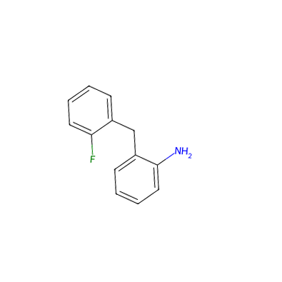 Nc1ccccc1Cc1ccccc1F